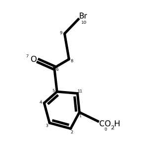 O=C(O)c1cccc(C(=O)CCBr)c1